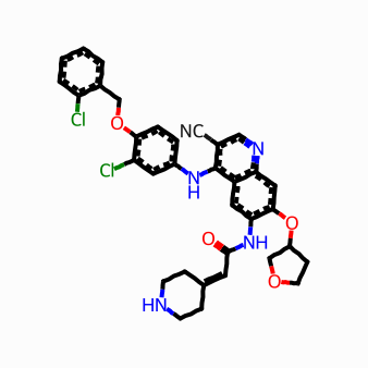 N#Cc1cnc2cc(OC3CCOC3)c(NC(=O)C=C3CCNCC3)cc2c1Nc1ccc(OCc2ccccc2Cl)c(Cl)c1